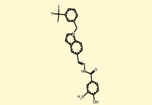 Nc1cc(C(=O)N/N=C/c2ccc3c(ccn3Cc3cccc(C(F)(F)F)c3)c2)ccc1O